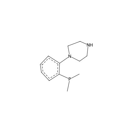 CP(C)c1ccccc1N1CCNCC1